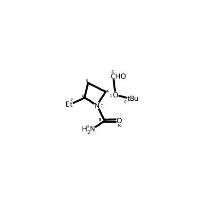 CC(C)(C)OC=O.CCC1CCN1C(N)=O